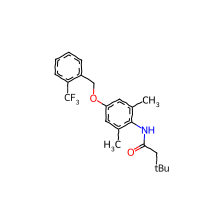 Cc1cc(OCc2ccccc2C(F)(F)F)cc(C)c1NC(=O)CC(C)(C)C